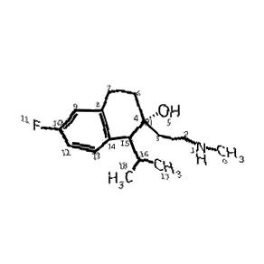 CNCC[C@]1(O)CCc2cc(F)ccc2C1C(C)C